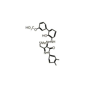 CSCC1=NN(c2ccc(C)c(C)c2)C(=O)C1=NNc1cccc(-c2cccc(OC(=O)O)c2)c1O